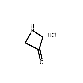 Cl.O=C1CNC1